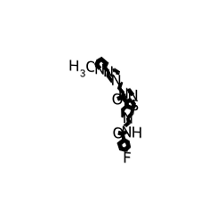 Cc1cccc(N2CCN(CCn3cnc4sc5c(c4c3=O)CCN(CCNC(=O)c3ccc(F)cc3)C5)CC2)n1